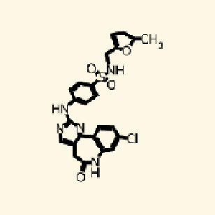 CC1CC=C(CNS(=O)(=O)c2ccc(Nc3ncc4c(n3)-c3ccc(Cl)cc3NC(=O)C4)cc2)O1